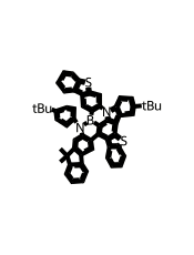 CC(C)(C)c1ccc(N2B3c4cc5c(cc4-n4c6ccc(C(C)(C)C)cc6c6c7sc8ccccc8c7c(c3c64)-c3cc4c(cc32)C(C)(C)c2ccccc2-4)sc2ccccc25)cc1